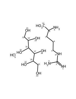 Cl.N=C(N)NCCCC(N)C(=O)O.OCC(O)C(O)C(O)C(O)CO